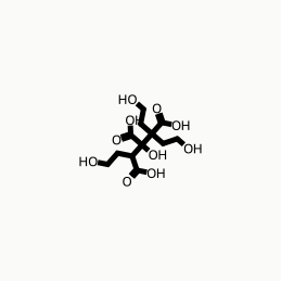 O=C(O)C(CCO)C(O)(C(=O)O)C(CCO)(CCO)C(=O)O